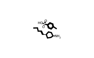 CCCC=C[C@H]1CC[C@@H](N)CC1.Cc1ccc(S(=O)(=O)O)cc1